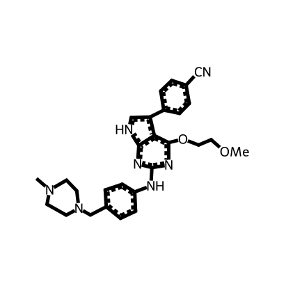 COCCOc1nc(Nc2ccc(CN3CCN(C)CC3)cc2)nc2[nH]cc(-c3ccc(C#N)cc3)c12